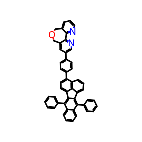 c1ccc(-c2c3c(c(-c4ccccc4)c4ccccc24)-c2ccc(-c4ccc(-c5cnc6c(c5)COCc5cccnc5-6)cc4)c4cccc-3c24)cc1